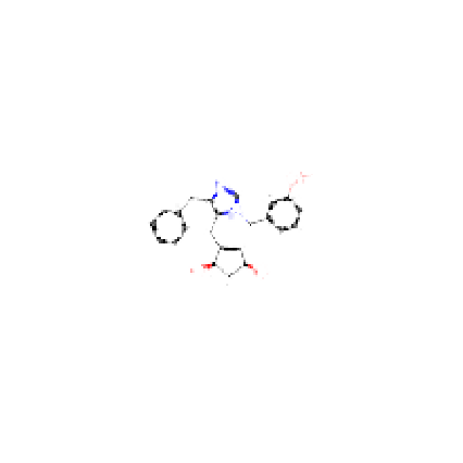 O=C1C=C(Cc2c(Cc3ccccc3)ncn2Cc2cccc(O)c2)C(=O)C1